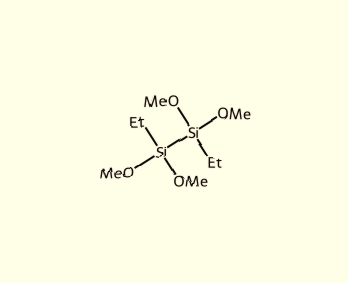 CC[Si](OC)(OC)[Si](CC)(OC)OC